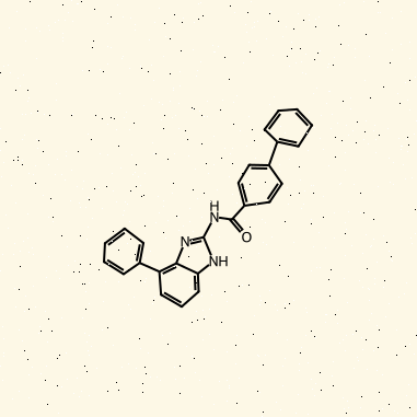 O=C(Nc1nc2c(-c3ccccc3)cccc2[nH]1)c1ccc(-c2ccccc2)cc1